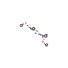 Cc1ccc2c(c1)c(CCCCN1CCN(c3ccc4oc(C(=O)NC(=O)OC(C)OC(=O)C5CCCC5)cc4c3)CC1)cn2C(=O)OC(C)OC(=O)C1CCCC1